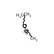 CCCCc1cn(-c2ccc(CCCCC(C)C)cc2)nn1